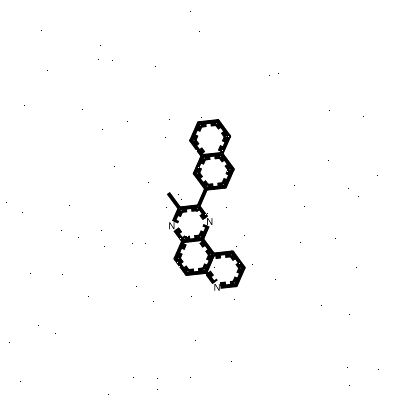 Cc1nc2ccc3ncccc3c2nc1-c1ccc2ccccc2c1